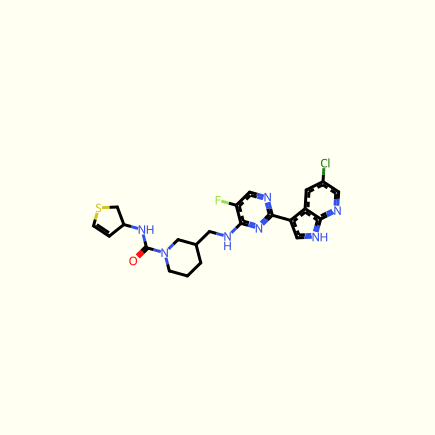 O=C(NC1C=CSC1)N1CCCC(CNc2nc(-c3c[nH]c4ncc(Cl)cc34)ncc2F)C1